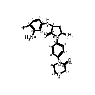 CC1CC(Nc2ccc(F)c(N)c2)C(=O)N1c1ccc(N2CCOCC2=O)cc1